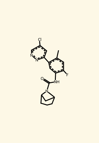 Cc1cc(F)c(NC(=O)N2C3CCCC2C3)cc1-c1cc(Cl)cnn1